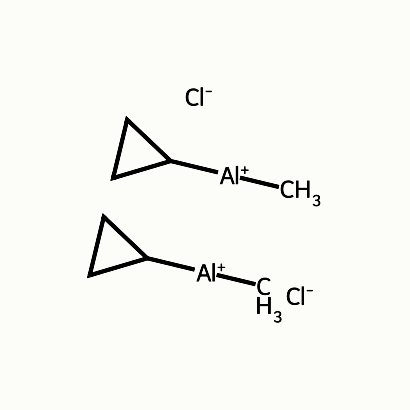 [CH3][Al+][CH]1CC1.[CH3][Al+][CH]1CC1.[Cl-].[Cl-]